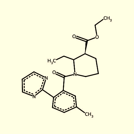 CCOC(=O)[C@H]1CCCN(C(=O)c2cc(C)ccc2-c2ncccn2)C1CC